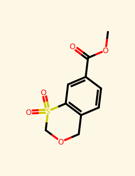 COC(=O)c1ccc2c(c1)S(=O)(=O)COC2